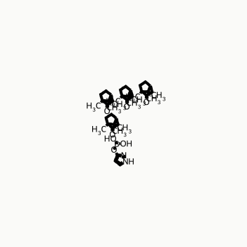 CC12CCC(CC1=O)C2(C)C.CC12CCC(CC1=O)C2(C)C.CC12CCC(CC1=O)C2(C)C.CC12CCC(CC1=O)C2(C)C.OB(O)Oc1cc[nH]n1